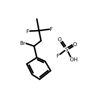 CC(F)(F)CC(Br)c1ccccc1.O=S(=O)(O)F